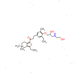 CCc1cc(CCC(=O)c2sc(CC)c3c2CCC(C)(C)C3)cc(C)c1OCC(O)CNCCO